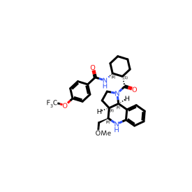 COC[C@@H]1Nc2ccccc2[C@H]2[C@@H]1CCN2C(=O)[C@H]1CCCC[C@H]1NC(=O)c1ccc(OC(F)(F)F)cc1